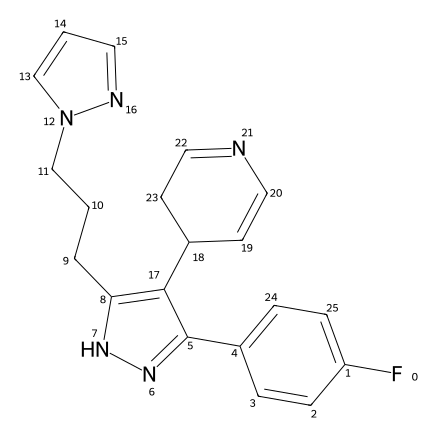 Fc1ccc(-c2n[nH]c(CCCn3cccn3)c2C2C=CN=CC2)cc1